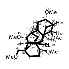 CCN1C[C@]2(COC)CC[C@H](OC)[C@]34C1[C@@](O)([C@@H](OC)[C@H]23)[C@@]1(O)C[C@H](OC)[C@H]2C[C@@H]4[C@@H]1[C@H]2OC(C)=O